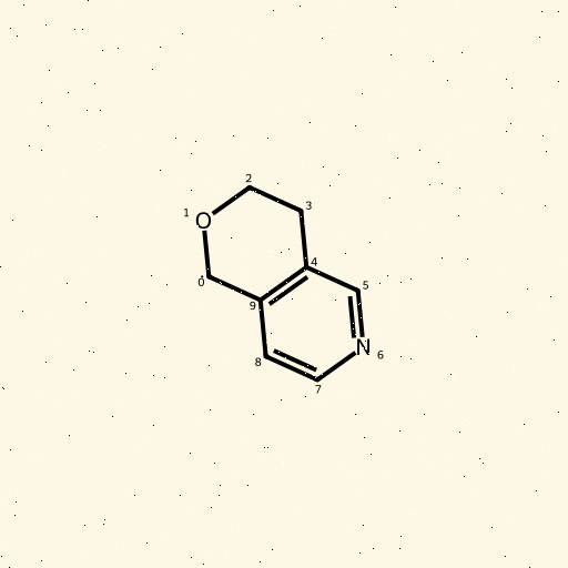 [CH]1OCCc2cnccc21